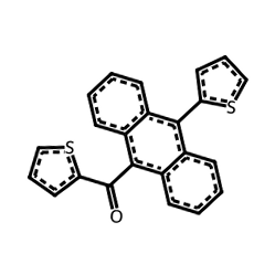 O=C(c1cccs1)c1c2ccccc2c(-c2cccs2)c2ccccc12